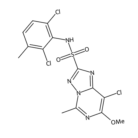 COc1nc(C)n2nc(S(=O)(=O)Nc3c(Cl)ccc(C)c3Cl)nc2c1Cl